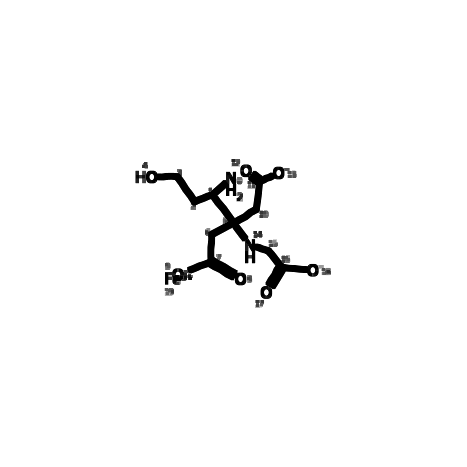 NC(CCO)C(CC(=O)[O-])(CC(=O)[O-])NCC(=O)[O-].[Fe+3]